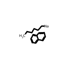 CCCCC[CH2][Na].c1ccc2ccccc2c1